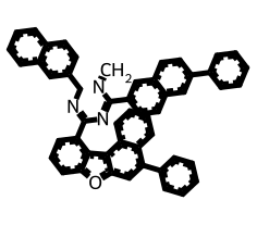 C=N/C(=N\C(=N/Cc1ccc2ccccc2c1)c1cccc2oc3cc(-c4ccccc4)c4ccccc4c3c12)c1ccc2cc(-c3ccccc3)ccc2c1